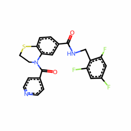 O=C(NCc1c(F)cc(F)cc1F)c1ccc2c(c1)N(C(=O)c1ccncc1)CCS2